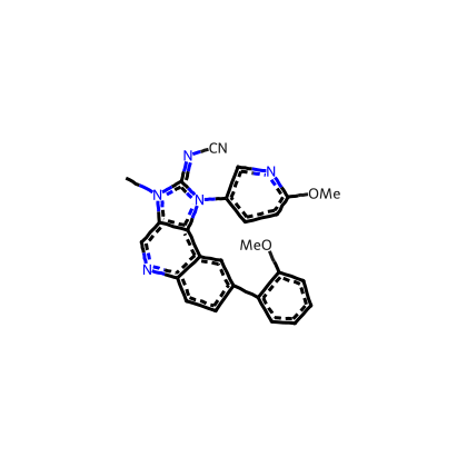 COc1ccc(-n2/c(=N\C#N)n(C)c3cnc4ccc(-c5ccccc5OC)cc4c32)cn1